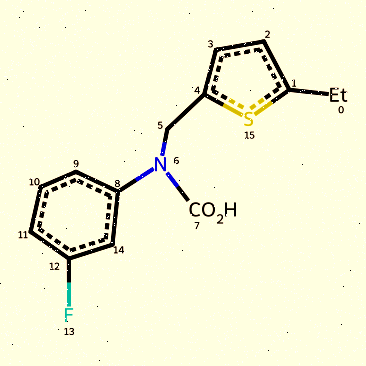 CCc1ccc(CN(C(=O)O)c2cccc(F)c2)s1